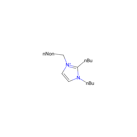 CCCCCCCCCC[n+]1ccn(CCCC)c1CCCC